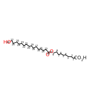 O=C(O)CCCCCCCCCOC(=O)CCCCCCCCCCCCCCCO